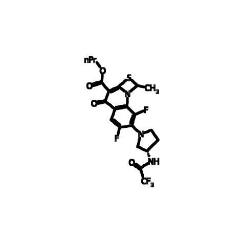 CCCOC(=O)c1c2n(c3c(F)c(N4CC[C@H](NC(=O)C(F)(F)F)C4)c(F)cc3c1=O)C(C)S2